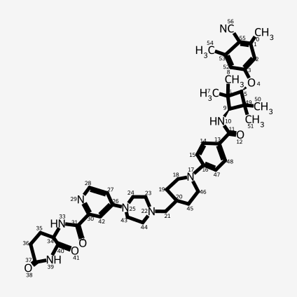 Cc1cc(O[C@H]2C(C)(C)[C@H](NC(=O)c3ccc(N4CCC(CN5CCN(c6ccnc(C(=O)NC7CCC(=O)NC7=O)c6)CC5)CC4)cc3)C2(C)C)cc(C)c1C#N